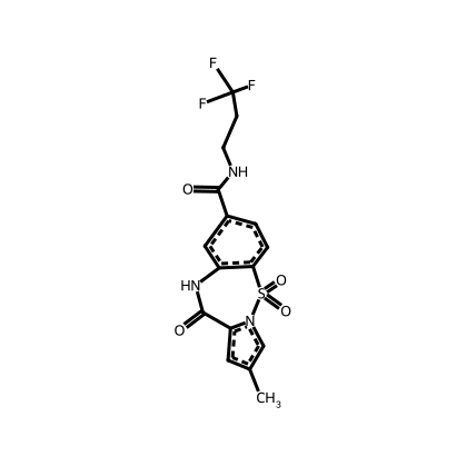 Cc1cc2n(c1)S(=O)(=O)c1ccc(C(=O)NCCC(F)(F)F)cc1NC2=O